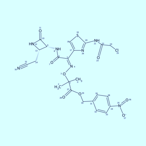 CC(C)(ON=C(C(=O)N[C@H]1C(=O)N[C@H]1CC#N)c1csc(NC(=O)CCl)n1)C(=O)OCc1ccc([N+](=O)[O-])cc1